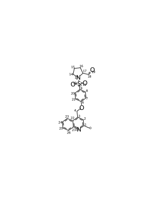 Cc1cc(COc2ccc(S(=O)(=O)N3CCCC3C=O)cc2)c2ccccc2n1